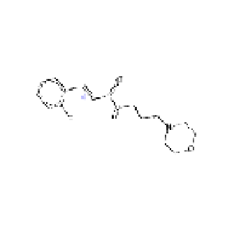 O=C(/C=C/c1ccccc1F)NCCCN1CCOCC1